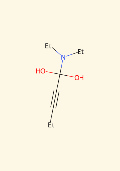 CCC#CC(O)(O)N(CC)CC